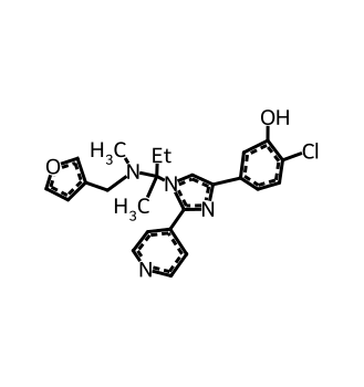 CCC(C)(N(C)Cc1ccoc1)n1cc(-c2ccc(Cl)c(O)c2)nc1-c1ccncc1